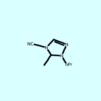 CCCN1N=CN(C#N)C1C